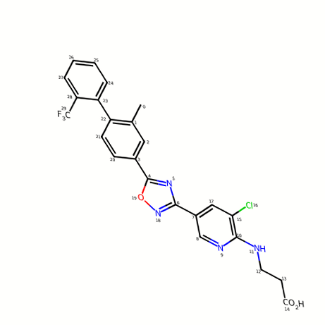 Cc1cc(-c2nc(-c3cnc(NCCC(=O)O)c(Cl)c3)no2)ccc1-c1ccccc1C(F)(F)F